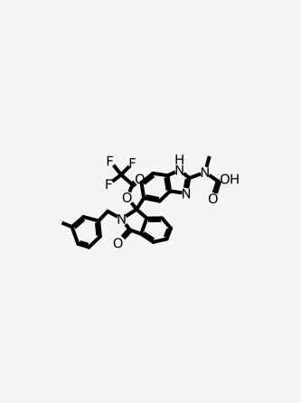 Cc1cccc(CN2C(=O)c3ccccc3C2(OC(=O)C(F)(F)F)c2ccc3[nH]c(N(C)C(=O)O)nc3c2)c1